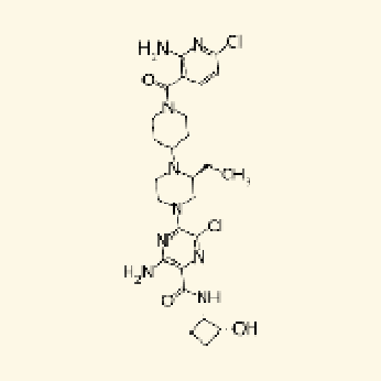 CC[C@H]1CN(c2nc(N)c(C(=O)N[C@H]3CC[C@H]3O)nc2Cl)CCN1C1CCN(C(=O)c2ccc(Cl)nc2N)CC1